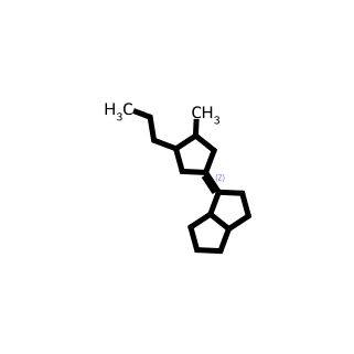 CCCC1C/C(=C2/CCC3CCCC23)CC1C